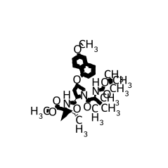 CC[C@@H]1C[C@]1(NC(=O)[C@@H]1C[C@@H](Oc2cccc3cc(OC)ccc23)CN1C(=O)[C@@H](NC(=O)OC(C)(C)C)C(C)(C)C)C(=O)OC